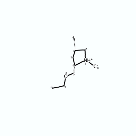 [CH2-][NH+]1C[C@@H](C)C[C@H]1COCC